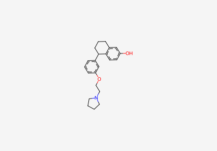 Oc1ccc2c(c1)CCCC2c1cccc(OCCN2CCCC2)c1